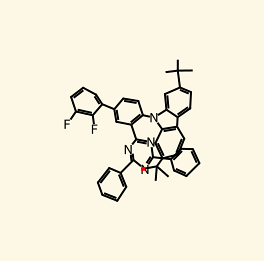 CC(C)(C)c1ccc2c3ccc(C(C)(C)C)cc3n(-c3ccc(-c4cccc(F)c4F)cc3-c3nc(-c4ccccc4)nc(-c4ccccc4)n3)c2c1